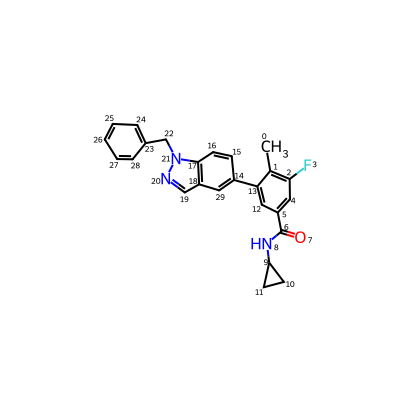 Cc1c(F)cc(C(=O)NC2CC2)cc1-c1ccc2c(cnn2Cc2ccccc2)c1